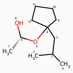 CC(C)CC1(O[C@H](C)O)CCCC1